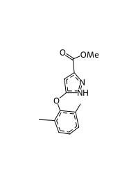 COC(=O)c1cc(Oc2c(C)cccc2C)[nH]n1